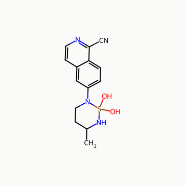 CC1CCN(c2ccc3c(C#N)nccc3c2)S(O)(O)N1